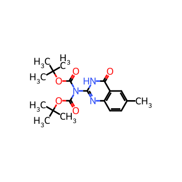 Cc1ccc2nc(N(C(=O)OC(C)(C)C)C(=O)OC(C)(C)C)[nH]c(=O)c2c1